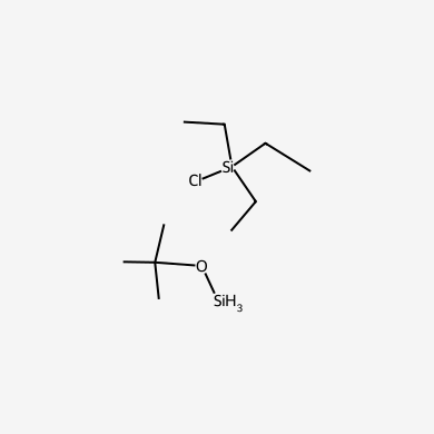 CC(C)(C)O[SiH3].CC[Si](Cl)(CC)CC